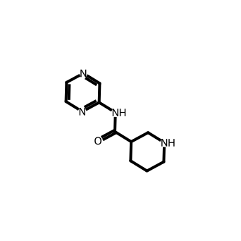 O=C(Nc1cnccn1)C1CCCNC1